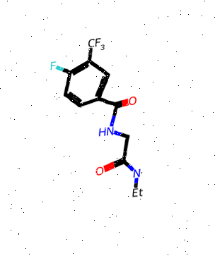 CC[N]C(=O)CNC(=O)c1ccc(F)c(C(F)(F)F)c1